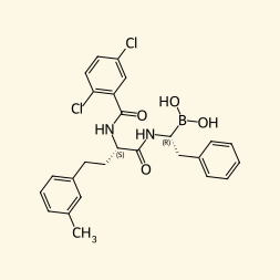 Cc1cccc(CC[C@H](NC(=O)c2cc(Cl)ccc2Cl)C(=O)N[C@@H](Cc2ccccc2)B(O)O)c1